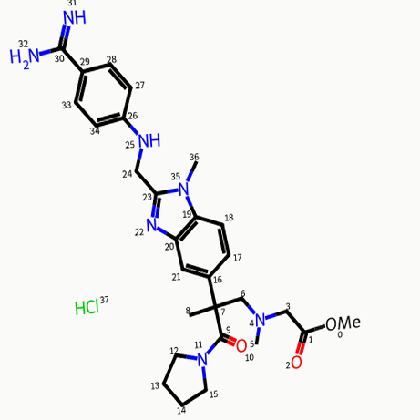 COC(=O)CN(C)CC(C)(C(=O)N1CCCC1)c1ccc2c(c1)nc(CNc1ccc(C(=N)N)cc1)n2C.Cl